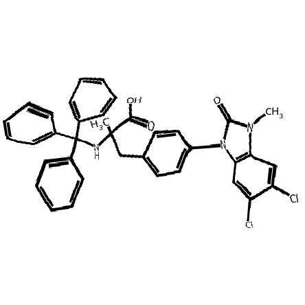 Cn1c(=O)n(-c2ccc(CC(C)(NC(c3ccccc3)(c3ccccc3)c3ccccc3)C(=O)O)cc2)c2cc(Cl)c(Cl)cc21